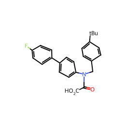 CC(C)(C)c1ccc(CN(C(=O)C(=O)O)c2ccc(-c3ccc(F)cc3)cc2)cc1